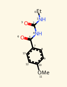 CCNC(=O)NC(=O)c1ccc(OC)cc1